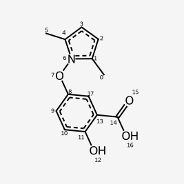 Cc1ccc(C)n1Oc1ccc(O)c(C(=O)O)c1